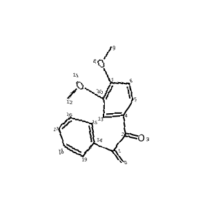 C=C(C(=O)c1ccc(OC)c(OC)c1)c1ccccc1